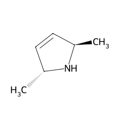 C[C@@H]1C=C[C@@H](C)N1